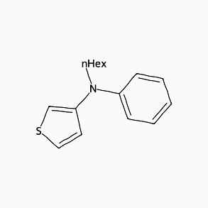 CCCCCCN(c1ccccc1)c1ccsc1